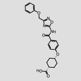 O=C(Nc1nc(COc2ccccc2)no1)c1ccc(O[C@H]2CC[C@@H](C(=O)O)CC2)cc1